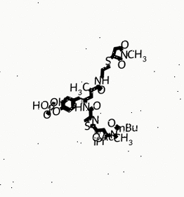 CCCCC(=O)N(C)[C@H](C[C@@H](OC(C)=O)c1nc(C(=O)N[C@@H](Cc2ccc(OP(=O)(O)O)cc2)CC(C)C(=O)NCCCSC2CC(=O)N(C)C2=O)cs1)C(C)C